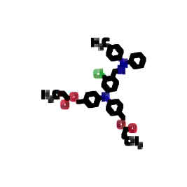 C=CC(=O)OCc1ccc(N(c2ccc(COC(=O)C=C)cc2)c2ccc(C=NN(c3ccccc3)c3ccc(C)cc3)c(Cl)c2)cc1